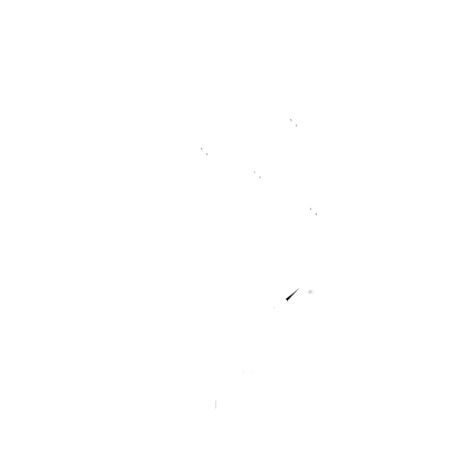 CCOc1ccccc1O[C@@H]1CCCN(c2cncc(NC(=O)C3(C(=O)O)CCCC3)n2)C1